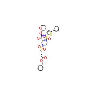 O=C(CCCS(=O)(=O)N1CCN(S(=O)(=O)c2ccc(-c3ccccc3)s2)[C@@H](C(=O)NOC2CCCCO2)C1)OCc1ccccc1